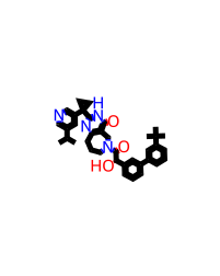 CC(C)c1cncc(C2(c3nc4c(c(=O)[nH]3)CN(C(=O)[C@H](O)c3cccc(-c5cccc(C(C)(C)C)c5)c3)CCC4)CC2)c1